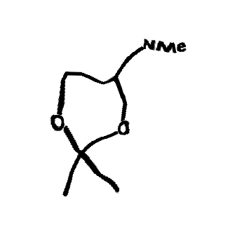 CNC1COC(C)(C)O1